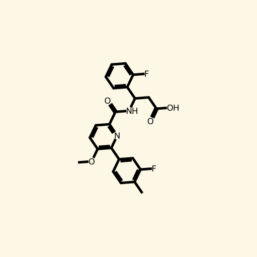 COc1ccc(C(=O)NC(CC(=O)O)c2ccccc2F)nc1-c1ccc(C)c(F)c1